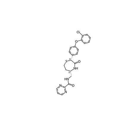 O=C(NC[C@@H]1CCS[C@H](c2ccc(Oc3ccccc3Cl)cc2)C(=O)N1)c1ncccn1